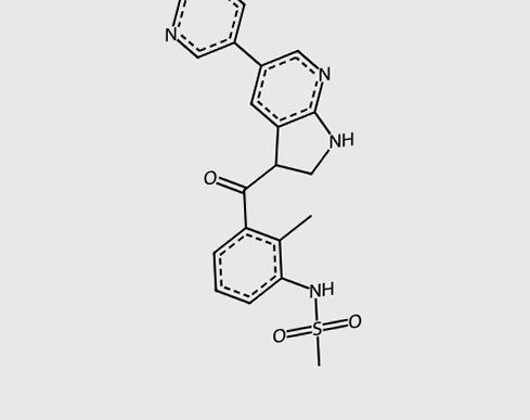 Cc1c(NS(C)(=O)=O)cccc1C(=O)C1CNc2ncc(-c3cccnc3)cc21